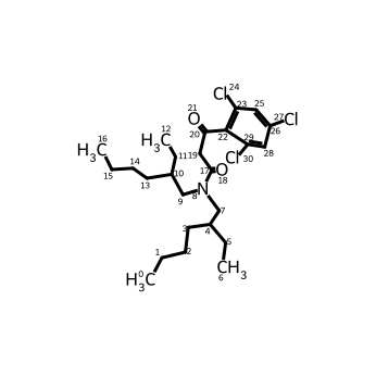 CCCCC(CC)CN(CC(CC)CCCC)C(=O)CC(=O)c1c(Cl)cc(Cl)cc1Cl